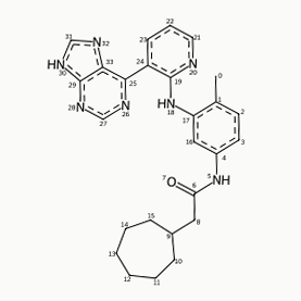 Cc1ccc(NC(=O)CC2CCCCCC2)cc1Nc1ncccc1-c1ncnc2[nH]cnc12